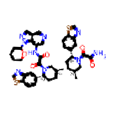 C[C@H]1CC[C@H](c2ccc3scnc3c2)N(C(=O)C(=O)Nc2cncc3cnn(C4CCCCO4)c23)C1.C[C@H]1CC[C@H](c2ccc3scnc3c2)N(C(=O)C(N)=O)C1